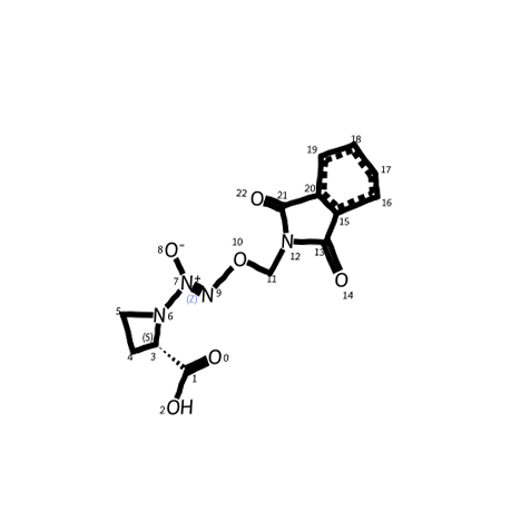 O=C(O)[C@@H]1CCN1/[N+]([O-])=N/OCN1C(=O)c2ccccc2C1=O